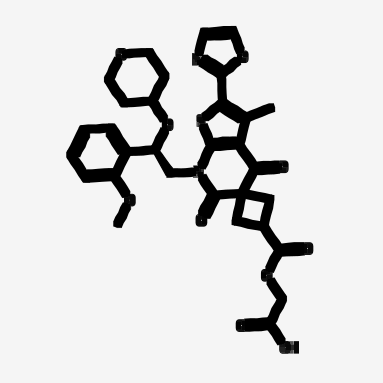 COc1ccccc1[C@H](CN1C(=O)C2(CC(C(=O)OCC(=O)O)C2)C(=O)c2c1sc(-c1ncco1)c2C)OC1CCOCC1